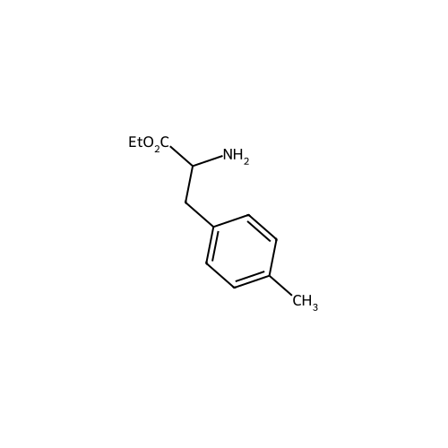 CCOC(=O)C(N)Cc1ccc(C)cc1